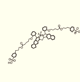 O=C(CCCCOc1ccccc1C1=[N+]2C(Cc3c4cc5ccccc5cc4c(-c4ccccc4OCCCCC(=O)OCCCc4ccc(S(=O)(=O)O)cc4)n3[B-]2(F)F)c2cc3ccccc3cc21)OCCCc1ccc(S(=O)(=O)O)cc1